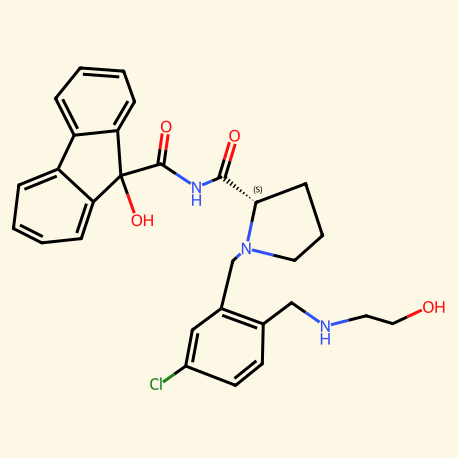 O=C(NC(=O)C1(O)c2ccccc2-c2ccccc21)[C@@H]1CCCN1Cc1cc(Cl)ccc1CNCCO